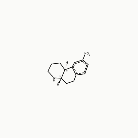 O=[N+]([O-])c1ccc2c(c1)[C@@H]1CCCN[C@H]1CC2